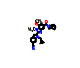 COc1cc(C(=O)N2CC34CC(CC23)C4)cc2nc(-c3cc4ccc(C#N)cc4n3CC3CC3)n(C)c12